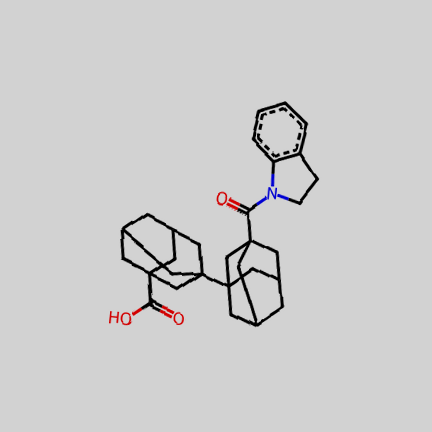 O=C(O)C12CC3CC(C1)CC(C14CC5CC(CC(C(=O)N6CCc7ccccc76)(C5)C1)C4)(C3)C2